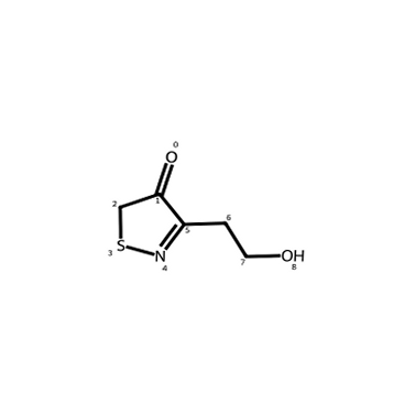 O=C1CSN=C1CCO